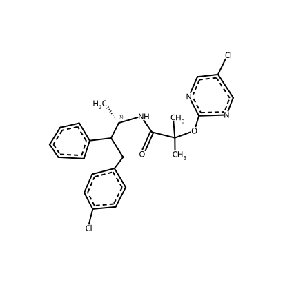 C[C@H](NC(=O)C(C)(C)Oc1ncc(Cl)cn1)C(Cc1ccc(Cl)cc1)c1ccccc1